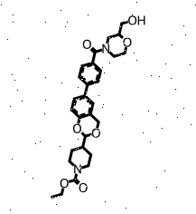 CCOC(=O)N1CCC(C2OCc3cc(-c4ccc(C(=O)N5CCOC(CO)C5)cc4)ccc3O2)CC1